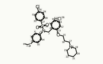 CSc1ccc(N(Cc2ccccc2OCCCN2CCCCC2)S(=O)(=O)c2ccc(Cl)cc2)cc1.Cl